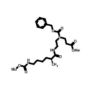 COC(=O)CCN(CCNC(=O)[C@@H](C)CCCCNC(=O)OC(C)(C)C)C(=O)OCc1ccccc1